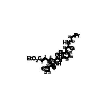 CCOC(=O)/C=C/CC[C@H](NS(=O)(=O)c1ccoc1)C(=O)Nc1cccn(CC(=O)NCCC(C)C)c1=O